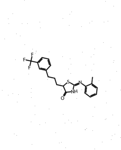 Cc1ccccc1N=C1NC(=O)C(CCCc2cccc(C(F)(F)F)c2)S1